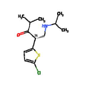 CC(C)NC[C@@H](C(=O)C(C)C)c1ccc(Cl)s1